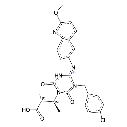 COc1ccc2cc(/N=c3\[nH]c(=O)n([C@@H](C)[C@@H](C)C(=O)O)c(=O)n3Cc3ccc(Cl)cc3)ccc2n1